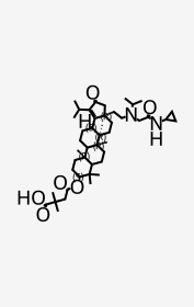 CC(C)C1=C2[C@H]3CCC4[C@@]5(C)CC[C@H](OC(=O)CC(C)(C)C(=O)O)C(C)(C)C5CC[C@@]4(C)[C@]3(C)CC[C@@]2(CCN(CC(=O)NC2CC2)C(C)C)CC1=O